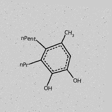 CCCCCc1c(C)cc(O)c(O)c1CCC